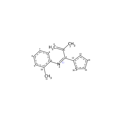 C=C(C)/C(=N\c1ccccc1C)c1cccs1